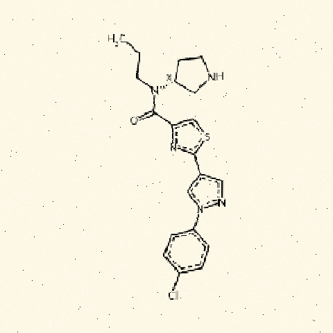 CCCN(C(=O)c1csc(-c2cnn(-c3ccc(Cl)cc3)c2)n1)[C@@H]1CCNC1